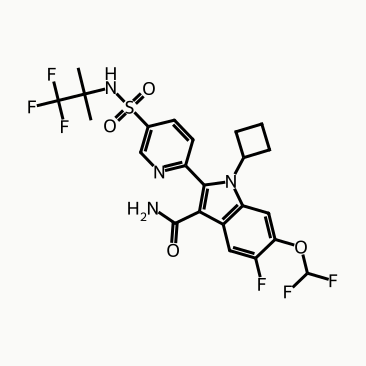 CC(C)(NS(=O)(=O)c1ccc(-c2c(C(N)=O)c3cc(F)c(OC(F)F)cc3n2C2CCC2)nc1)C(F)(F)F